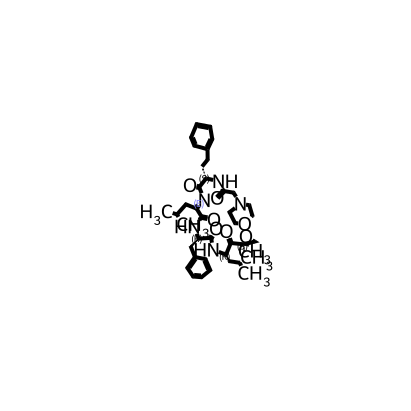 CC(C)C/C(=N\C(=O)[C@H](CCc1ccccc1)NC(=O)CN1CCOCC1)C(=O)N[C@H](Cc1ccccc1)C(=O)N[C@H](CC(C)C)C(=O)[C@]1(C)CO1